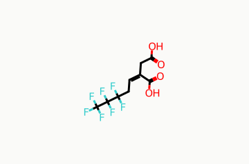 O=C(O)CC(=CCC(F)(F)C(F)(F)C(F)(F)F)C(=O)O